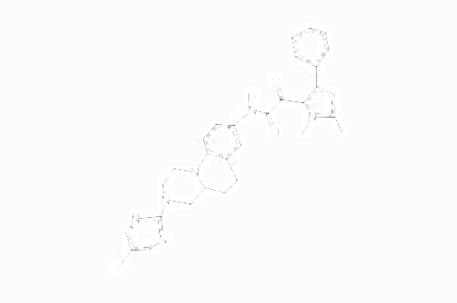 Cc1cc(-c2ccccc2)c(C(=O)C(=O)Nc2ccc3c(c2)CCC2CN(c4ncc(F)cn4)CCN32)n1C